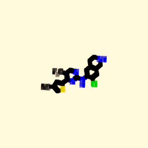 N#Cc1csc(-c2nc(Nc3cc4c(cc3Cl)CNCC4)ncc2C(F)(F)F)c1